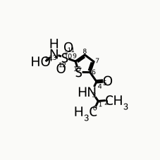 CC(C)NC(=O)c1ccc(S(=O)(=O)NO)s1